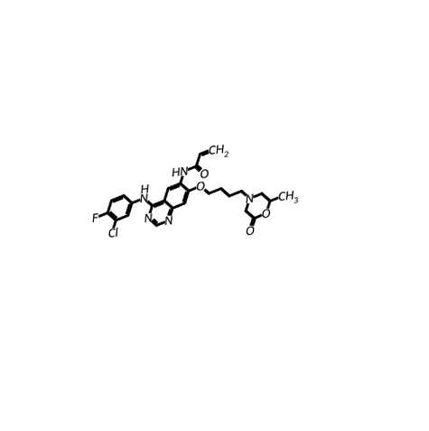 C=CC(=O)Nc1cc2c(Nc3ccc(F)c(Cl)c3)ncnc2cc1OCCCCN1CC(=O)OC(C)C1